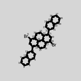 Brc1cc(-c2ccc3ccccc3c2)c2ccc3c(Br)cc(-c4ccc5ccccc5c4)c4ccc1c2c34